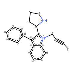 CC#CCn1c(C2CCCN2)c(-c2ccccc2)c2ccccc21